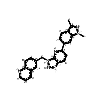 Cc1nn(C)c2cc(-c3ccc4nnn(Cc5ccc6ncccc6c5)c4n3)ccc12